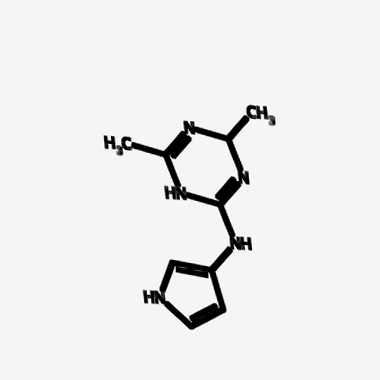 CC1=NC(C)N=C(Nc2cc[nH]c2)N1